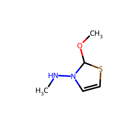 CNN1C=CSC1OC